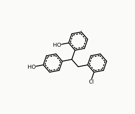 Oc1ccc(C(Cc2ccccc2Cl)c2cc[c]cc2O)cc1